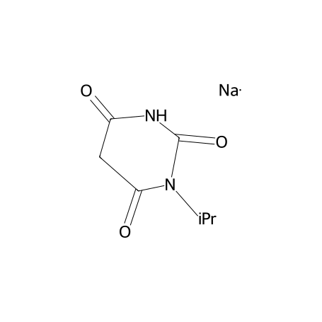 CC(C)N1C(=O)CC(=O)NC1=O.[Na]